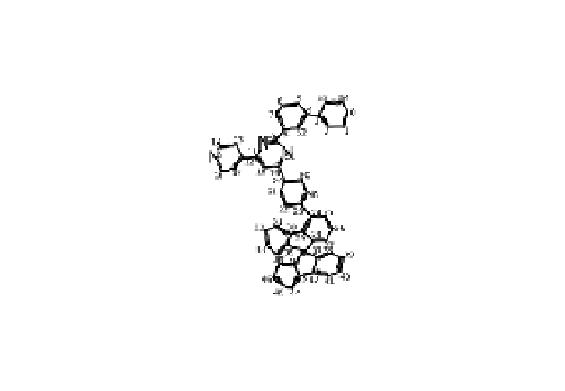 c1ccc(-c2cccc(-c3nc(-c4ccncc4)cc(-c4ccc(-c5cccc6c5-c5ccccc5C65c6ccccc6-c6ccccc65)cc4)n3)c2)cc1